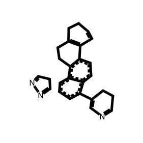 C1=CC2=C(CC1)CCc1c2ccc2c(C3=CN=CCC3)cccc12.C1=NN=CC1